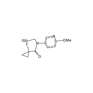 C#CCN(C(=O)C1(F)CC1)c1ccc(OC)nc1